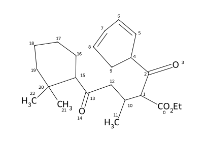 CCOC(=O)C(C(=O)C1C=CC=CC1)C(C)CC(=O)C1CCCCC1(C)C